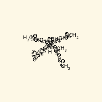 C=CC(=O)OCCOCCOC(C)OCC(COC(C)OCCOCCOC(=O)C=C)(COC(C)OCCOCCOC(=O)C=C)NC(=O)COc1ccc(Sc2ccccc2C=O)cc1